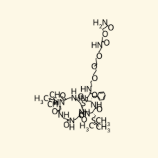 CC(C)(C)SC[C@@H]1NC(=O)CNC(=O)CC2(NC(=O)CNC(=O)CNC1=O)SC1(NC1C(=O)NCCOCCOCCOCCNC(=O)COCC(N)=O)[C@H](Cc1ccccc1)NC(=O)[C@H](CSC(C)(C)C)NC2=O